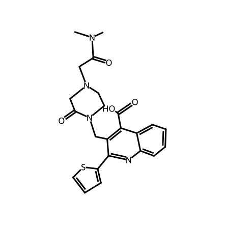 CN(C)C(=O)CN1CCN(Cc2c(-c3cccs3)nc3ccccc3c2C(=O)O)C(=O)C1